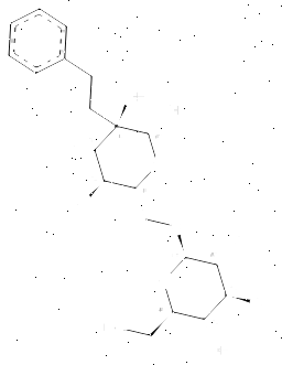 OC[C@H]1O[C@@H](OC[C@H]2O[C@@H](O)[C@@](O)(CCc3ccccc3)[C@@H](O)[C@@H]2O)[C@H](O)[C@@H](O)[C@@H]1O